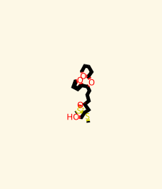 CSC(CO)(CCCCCC(OC1CCCCO1)c1ccco1)[S+](C)[O-]